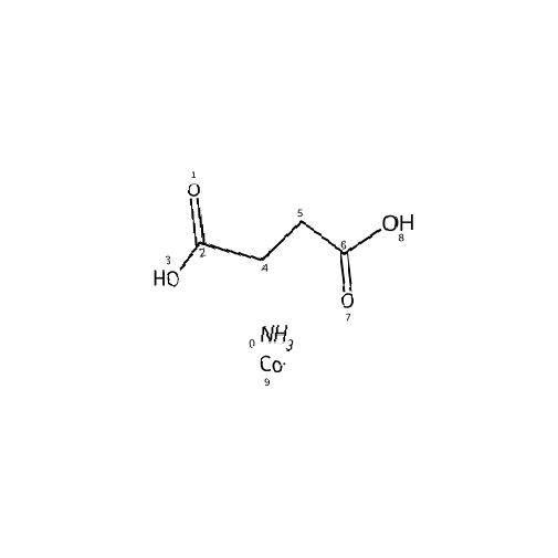 N.O=C(O)CCC(=O)O.[Co]